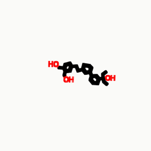 CCC(O)(CC)c1cccc(-c2cccc(CCc3ccc(CO)c(CO)c3)c2)c1